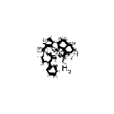 C[C@@H](NCC1CN(C(=O)c2sccc2SCC(=O)O)CCC1c1ccccc1)c1cccc2ccccc12